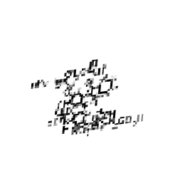 CCC(CC)Nc1c([N+](=O)[O-])cc(C)c(C)c1[N+](=O)[O-].CCCCCOC(=O)COc1cc(N2C(=O)C3=C(CCCC3)C2=O)c(F)cc1Cl.C[S+](C)C.O=C(O)CNCP(=O)([O-])O